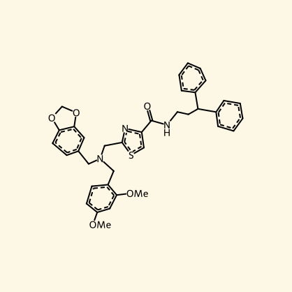 COc1ccc(CN(Cc2ccc3c(c2)OCO3)Cc2nc(C(=O)NCCC(c3ccccc3)c3ccccc3)cs2)c(OC)c1